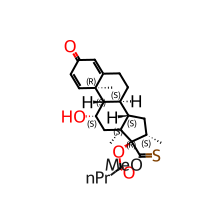 CCCC(=O)O[C@]1(C(=S)OC)[C@@H](C)C[C@H]2[C@@H]3CCC4=CC(=O)C=C[C@]4(C)[C@H]3[C@@H](O)C[C@@]21C